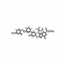 COC(=O)c1cc(F)c2nc(Cc3ccc(-c4cccc(OCc5ccc(C#N)cc5F)n4)c(F)c3)n(CC3(CF)CC3)c2c1